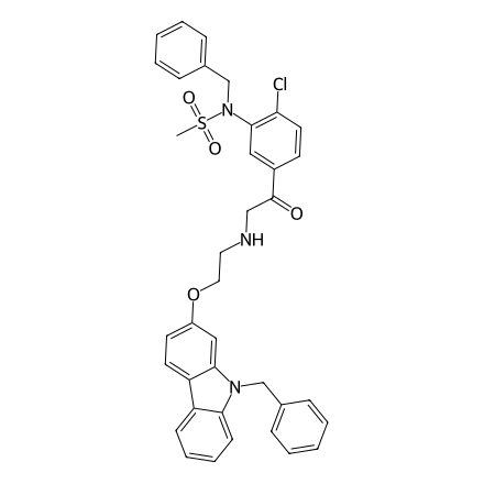 CS(=O)(=O)N(Cc1ccccc1)c1cc(C(=O)CNCCOc2ccc3c4ccccc4n(Cc4ccccc4)c3c2)ccc1Cl